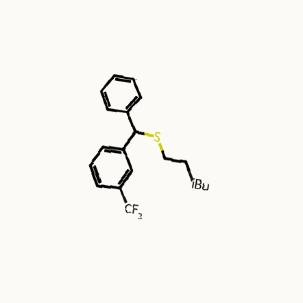 CCC(C)CCSC(c1c[c]ccc1)c1cccc(C(F)(F)F)c1